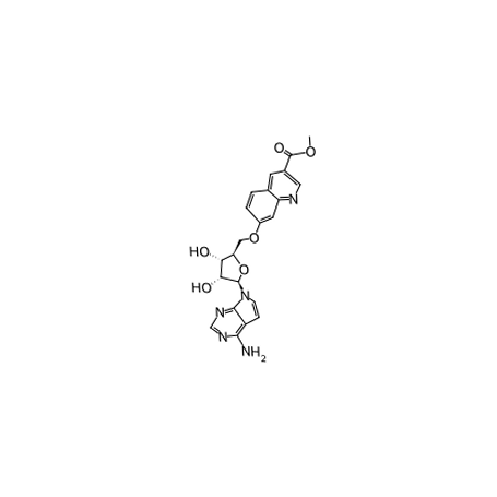 COC(=O)c1cnc2cc(OC[C@H]3O[C@@H](n4ccc5c(N)ncnc54)[C@H](O)[C@@H]3O)ccc2c1